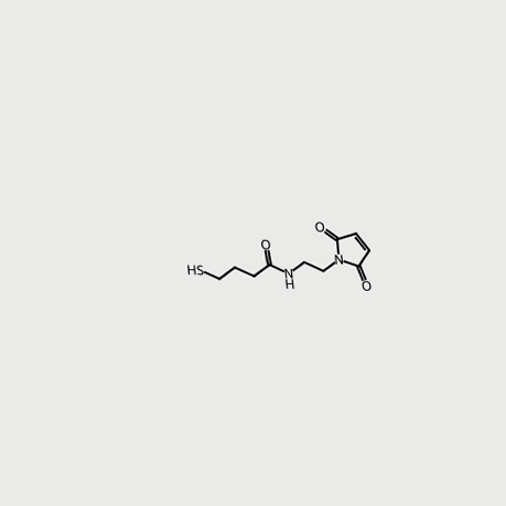 O=C(CCCS)NCCN1C(=O)C=CC1=O